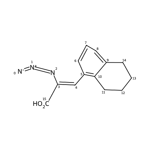 [N-]=[N+]=N/C(=C\c1cccc2c1CCCC2)C(=O)O